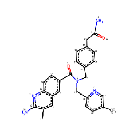 Cc1cc2cc(C(=O)N(Cc3ccc(CC(N)=O)cc3)Cc3ccc(C(F)(F)F)cn3)ccc2nc1N